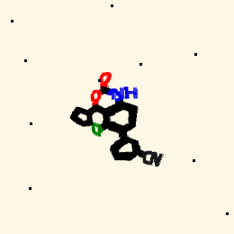 N#Cc1cccc(-c2ccc3c(c2Cl)C(C2CCCC2)OC(=O)N3)c1